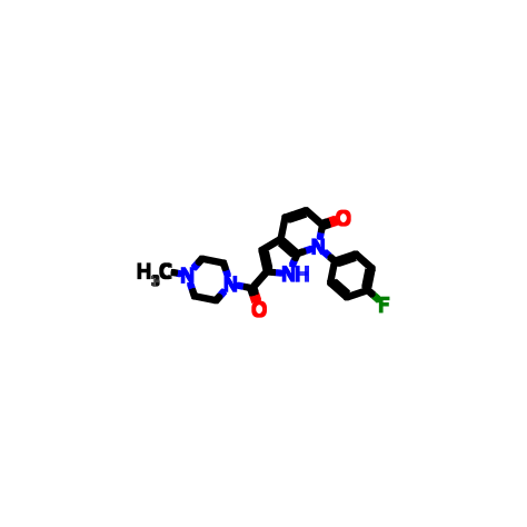 CN1CCN(C(=O)c2cc3ccc(=O)n(-c4ccc(F)cc4)c3[nH]2)CC1